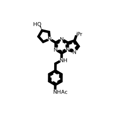 CC(=O)Nc1ccc(CNc2nc(N3CC[C@H](O)C3)nc3c(C(C)C)cnn23)cc1